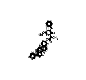 C[C@H](NC(=O)[C@H](Cc1ccccc1)NC(=O)OC(C)(C)C)C(=O)O[C@H]1CC[C@@]2(C)C(=CC[C@@H]3[C@@H]2CC[C@]2(C)C(c4cccnc4)=CC[C@@H]32)C1